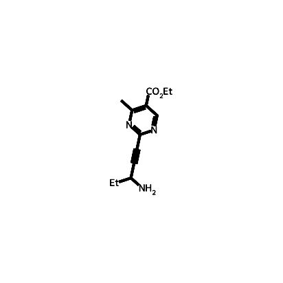 CCOC(=O)c1cnc(C#CC(N)CC)nc1C